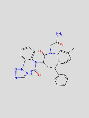 Cc1ccc2c(c1)N(CC(N)=O)C(=O)C(N(C(N)=O)c1ccccc1-n1ncnn1)CC2c1ccccc1